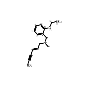 CN(C/C=C/C#CC(C)(C)C)Cc1ccccc1OCC(C)(C)C